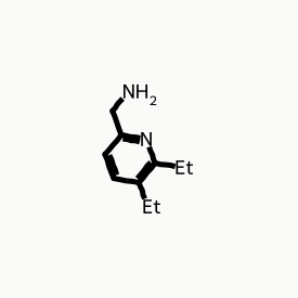 CCc1ccc(CN)nc1CC